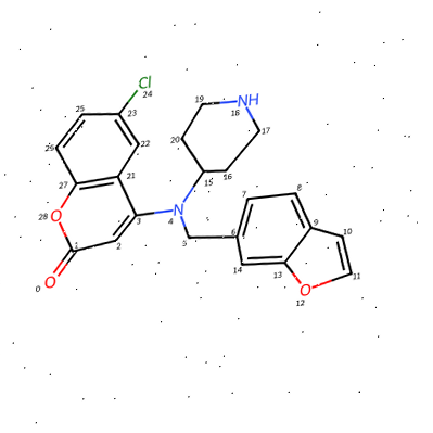 O=c1cc(N(Cc2ccc3ccoc3c2)C2CCNCC2)c2cc(Cl)ccc2o1